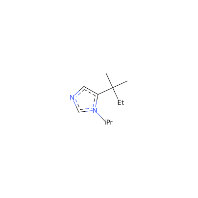 CCC(C)(C)c1cncn1C(C)C